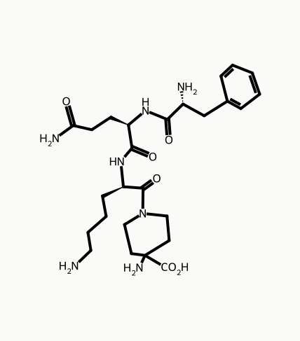 NCCCC[C@@H](NC(=O)[C@@H](CCC(N)=O)NC(=O)[C@H](N)Cc1ccccc1)C(=O)N1CCC(N)(C(=O)O)CC1